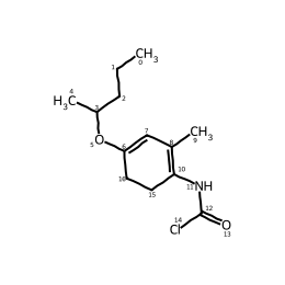 CCCC(C)OC1=CC(C)=C(NC(=O)Cl)CC1